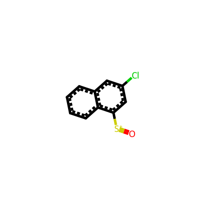 O=[S+]c1cc(Cl)cc2ccccc12